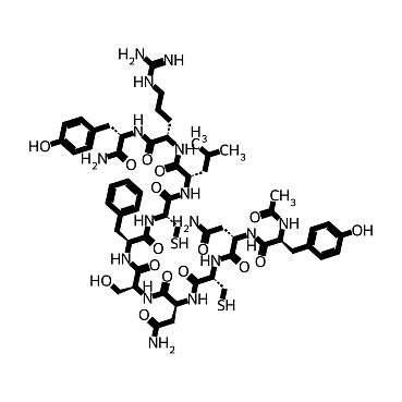 CC(=O)N[C@@H](Cc1ccc(O)cc1)C(=O)N[C@@H](CC(N)=O)C(=O)N[C@H](CS)C(=O)N[C@@H](CC(N)=O)C(=O)N[C@@H](CO)C(=O)N[C@@H](Cc1ccccc1)C(=O)N[C@@H](CS)C(=O)N[C@@H](CC(C)C)C(=O)N[C@@H](CCCNC(=N)N)C(=O)N[C@@H](Cc1ccc(O)cc1)C(N)=O